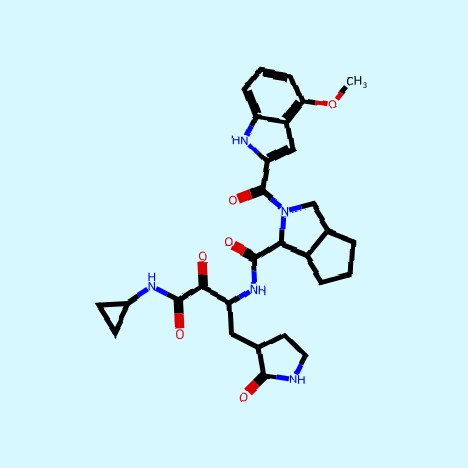 COc1cccc2[nH]c(C(=O)N3CC4CCCC4C3C(=O)NC(CC3CCNC3=O)C(=O)C(=O)NC3CC3)cc12